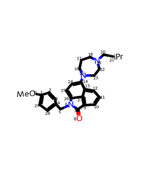 COc1ccc(CN2C(=O)c3cccc4c(N5CCCN(CC(C)C)CC5)ccc2c34)cc1